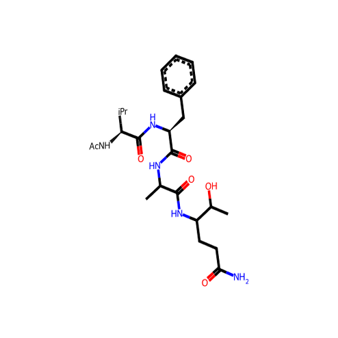 CC(=O)N[C@H](C(=O)N[C@@H](Cc1ccccc1)C(=O)NC(C)C(=O)NC(CCC(N)=O)C(C)O)C(C)C